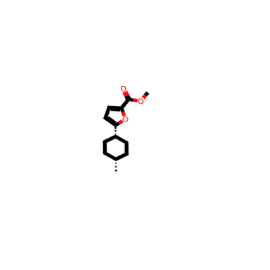 COC(=O)c1ccc([C@H]2CC[C@@H](C)CC2)o1